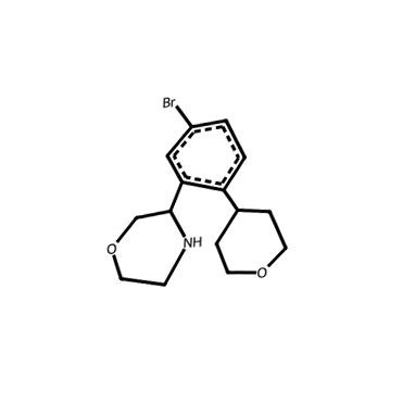 Brc1ccc(C2CCOCC2)c(C2COCCN2)c1